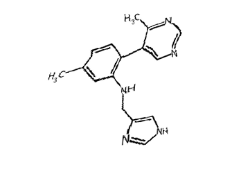 Cc1ccc(-c2cncnc2C)c(NCc2c[nH]cn2)c1